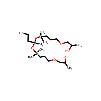 CC(O)COCCC[Si](C)(C)O[Si](C)(CCC(F)(F)F)O[Si](C)(C)CCCOCC(C)O